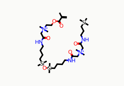 C=C(C)C(=O)OCC[N+](C)(C)CC(=O)NCCCC[Si](C)(C)O[Si](C)(C)CCCCNC(=O)C[N+](C)(C)CC(=O)NCCC[Si](C)(C)C